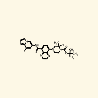 CC(C)(C)OC(=O)N1CCN(c2ccc(C(=O)Nc3cc(F)c4nccn4c3)c3nccnc23)CC1(C)C